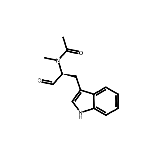 CC(=O)N(C)[C@H](C=O)Cc1c[nH]c2ccccc12